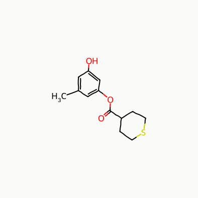 Cc1cc(O)cc(OC(=O)C2CCSCC2)c1